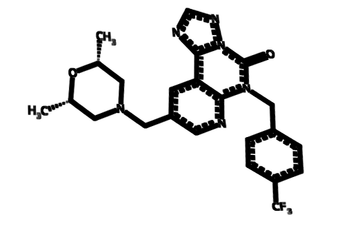 C[C@@H]1CN(Cc2cnc3c(c2)c2ncnn2c(=O)n3Cc2ccc(C(F)(F)F)cc2)C[C@H](C)O1